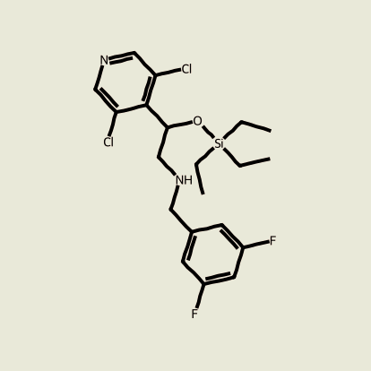 CC[Si](CC)(CC)OC(CNCc1cc(F)cc(F)c1)c1c(Cl)cncc1Cl